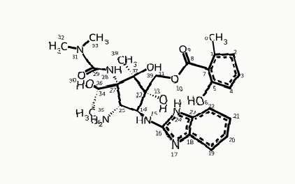 Cc1cccc(O)c1C(=O)OC[C@@]1(O)[C@@H](Nc2nc3ccccc3[nH]2)[C@H](N)[C@@](NC(=O)N(C)C)([C@H](C)O)[C@@]1(C)O